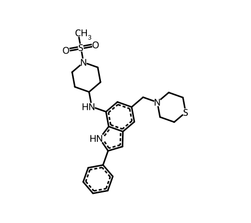 CS(=O)(=O)N1CCC(Nc2cc(CN3CCSCC3)cc3cc(-c4ccccc4)[nH]c23)CC1